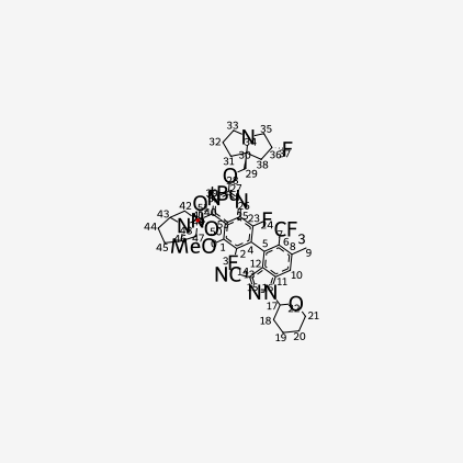 COc1c(F)c(-c2c(C(F)(F)F)c(C)cc3c2c(C#N)nn3C2CCCCO2)c(F)c2nc(OC[C@@]34CCCN3C[C@H](F)C4)nc(N3CC4CCC(C3)N4C(=O)OC(C)(C)C)c12